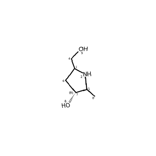 CC1NC(CO)C[C@H]1O